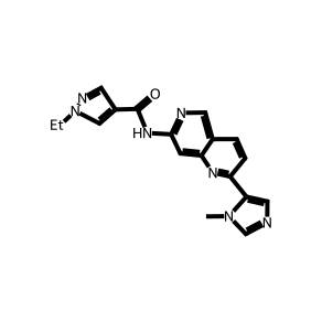 CCn1cc(C(=O)Nc2cc3nc(-c4cncn4C)ccc3cn2)cn1